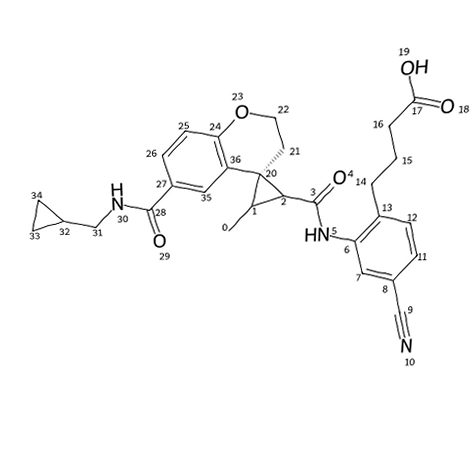 CC1C(C(=O)Nc2cc(C#N)ccc2CCCC(=O)O)[C@@]12CCOc1ccc(C(=O)NCC3CC3)cc12